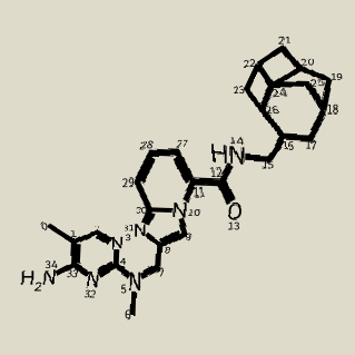 Cc1cnc(N(C)Cc2cn3c(C(=O)NCC45CC6CC7CC(C4)C7(C6)C5)cccc3n2)nc1N